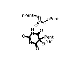 CCCC(C)C1(CC)C(=O)N=C([O-])NC1=O.CCCCCO[PH](=O)OCCCCC.[Na+]